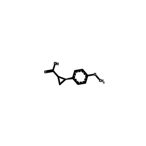 COc1ccc([C@H]2CC2C(=O)O)cc1